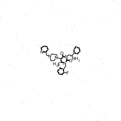 Cc1c(N2CCN(Cc3ccccn3)CC2)c(=O)n(C[C@@H](N)c2ccccc2)c(=O)n1Cc1c(F)cccc1F